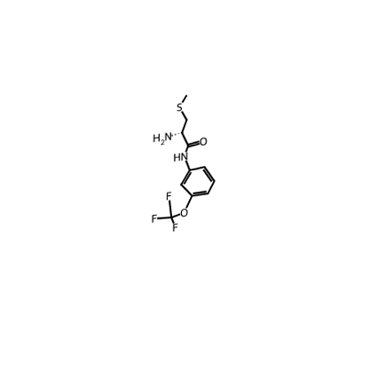 CSC[C@@H](N)C(=O)Nc1cccc(OC(F)(F)F)c1